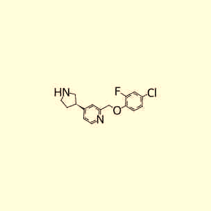 Fc1cc(Cl)ccc1OCc1cc([C@H]2CCNC2)ccn1